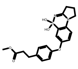 COC(=O)CCc1ccc(Oc2ccc3c(c2)S(O)(O)N=C2CCCN23)cc1